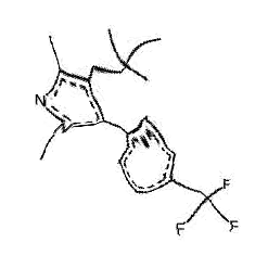 Cc1nn(C)c(-c2ccc(C(F)(F)F)cc2)c1C(C)(C)C